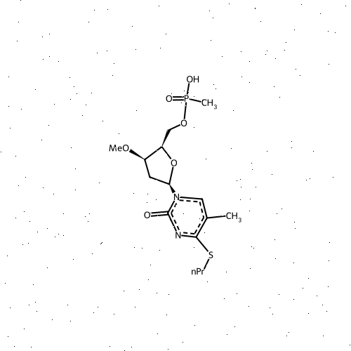 CCCSc1nc(=O)n([C@H]2C[C@@H](OC)[C@@H](COP(C)(=O)O)O2)cc1C